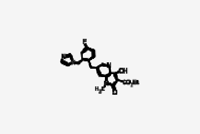 CCOC(=O)c1c(O)c2ncc(Cc3ccc(F)cc3Cn3ccnc3)cc2n(C)c1=O